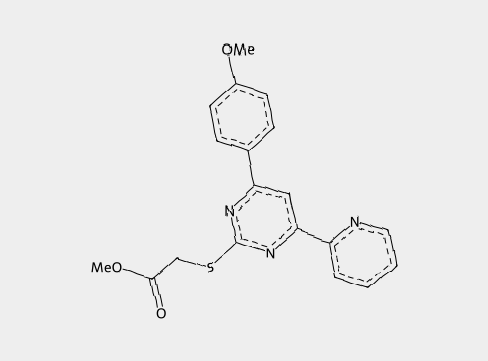 COC(=O)CSc1nc(-c2ccc(OC)cc2)cc(-c2ccccn2)n1